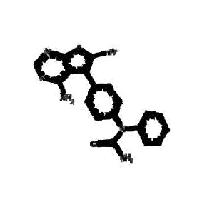 CCCc1sc2ncnc(N)c2c1-c1ccc(N(C(N)=O)c2ccccc2)cc1